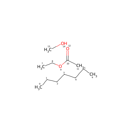 CCCCCCC.CCOC(C)=O.CO